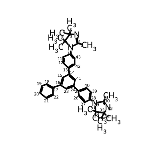 CC1=NC(C)(C)C(C)(C)N1c1ccc(-c2cc(-c3ccccc3)cc(-c3ccc(N4C(C)=NC(C)(C)C4(C)C)cc3)c2)cc1